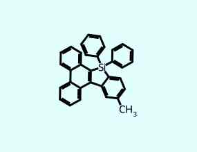 Cc1ccc2c(c1)-c1c(c3ccccc3c3ccccc13)[Si]2(c1ccccc1)c1ccccc1